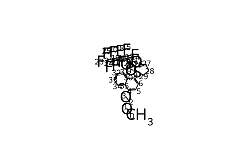 COCOc1ccc(S2(OS(=O)(=O)C(F)(F)C(F)(F)C(F)(F)C(F)(F)F)CCCC2)c2ccccc12